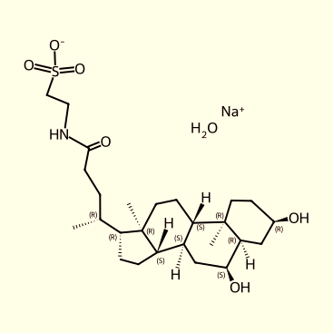 C[C@H](CCC(=O)NCCS(=O)(=O)[O-])[C@H]1CC[C@H]2[C@@H]3C[C@H](O)[C@@H]4C[C@H](O)CC[C@]4(C)[C@H]3CC[C@]12C.O.[Na+]